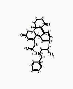 CC(=O)OC1=CC(=O)CN2C1=c1cc(OC(C)CCCc3ccccc3)ccc1=C1C(=O)CCC[C@@H]12